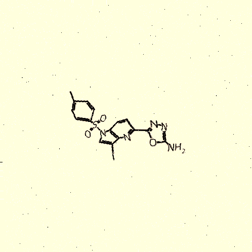 Cc1ccc(S(=O)(=O)n2cc(I)c3nc(-c4nnc(N)o4)ccc32)cc1